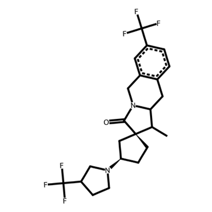 CC1C2Cc3ccc(C(F)(F)F)cc3CN2C(=O)[C@]12CC[C@@H](N1CCC(C(F)(F)F)C1)C2